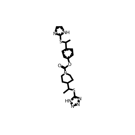 CC(Sc1ncc[nH]1)c1ccc(OC(=O)N2CCC(C(C)Sc3nnn[nH]3)CC2)cc1